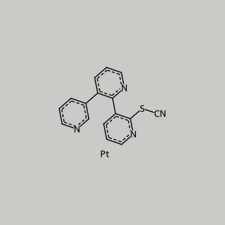 N#CSc1ncccc1-c1ncccc1-c1cccnc1.[Pt]